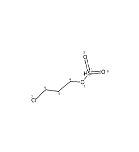 O=[SH](=O)OCCCCl